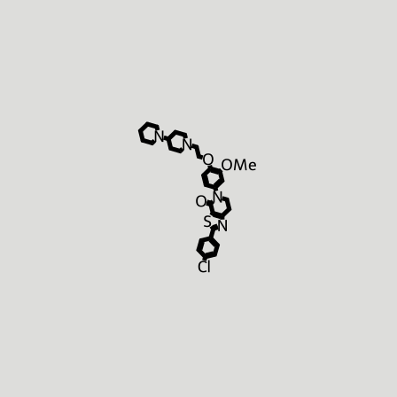 COc1cc(N2CCc3nc(-c4ccc(Cl)cc4)sc3C2=O)ccc1OCCN1CCC(N2CCCCC2)CC1